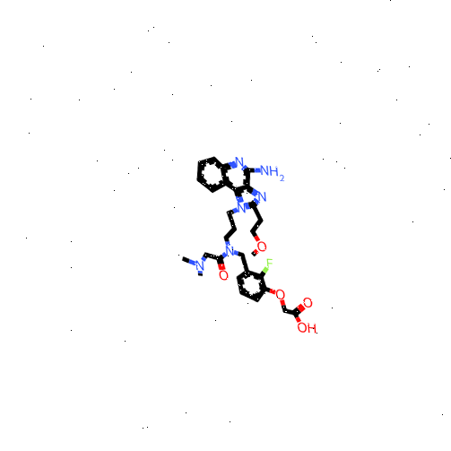 COCCc1nc2c(N)nc3ccccc3c2n1CCCN(Cc1cccc(OCC(=O)O)c1F)C(=O)CN(C)C